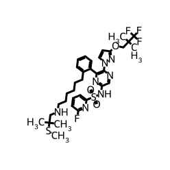 CSC(C)(C)CNCCCCCCc1ccccc1-c1nc(NS(=O)(=O)c2cccc(F)n2)cnc1-n1ccc(OCC(C)(C)C(F)(F)F)n1